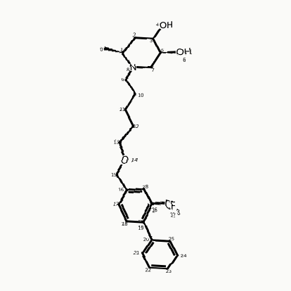 C[C@H]1CC(O)[C@@H](O)CN1CCCCCOCc1ccc(-c2ccccc2)c(C(F)(F)F)c1